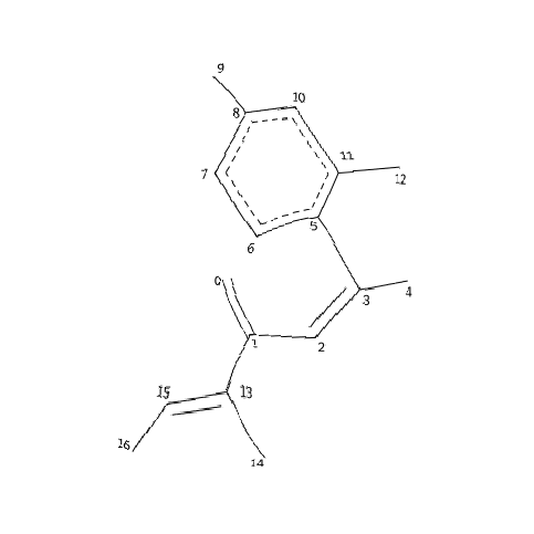 C=C(/C=C(/C)c1ccc(C)cc1C)/C(C)=C/C